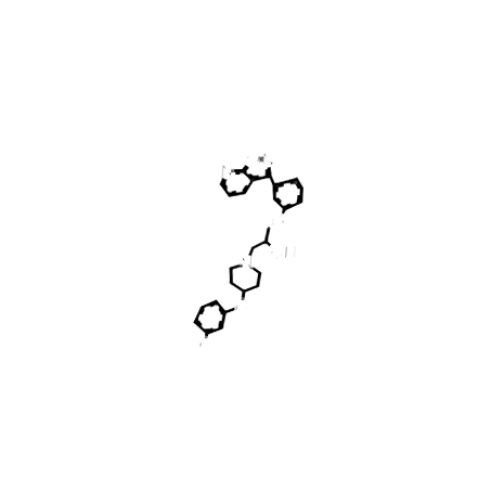 OC(COc1cccc(-c2noc3ncccc23)c1)CN1CCC(Oc2cccc(Cl)c2)CC1